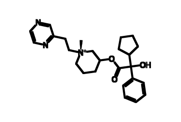 C[N@+]1(CCc2cnccn2)CCCC(OC(=O)C(O)(c2ccccc2)C2CCCC2)C1